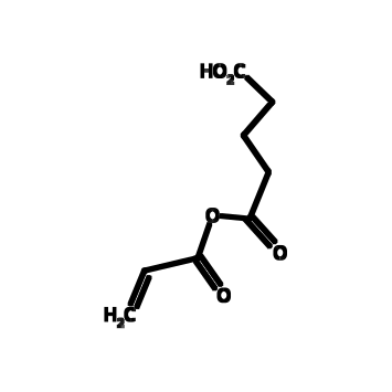 C=CC(=O)OC(=O)CCCC(=O)O